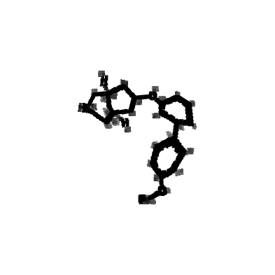 CCOc1ccc(-c2cccc(OC3C[C@H]4CNC[C@H]4C3)c2)cc1